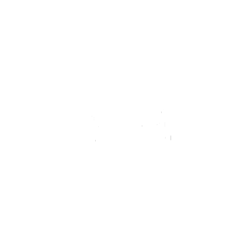 CCCC.CCOC(=O)/C=C(\C)C(C)O[PH](=O)O